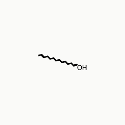 CC=CCCCCCCCCCC=CO